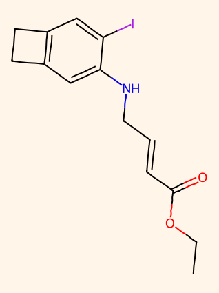 CCOC(=O)/C=C/CNc1cc2c(cc1I)CC2